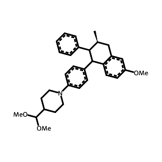 COc1ccc2c(c1)C[C@H](C)C(c1ccccc1)C2c1ccc(N2CCC(C(OC)OC)CC2)cc1